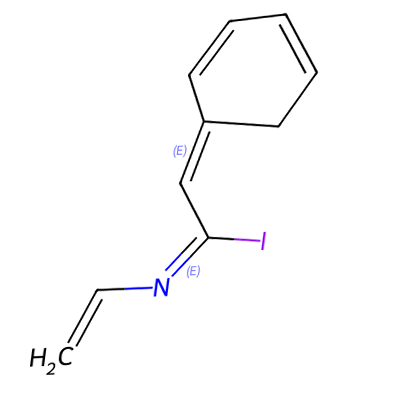 C=C/N=C(I)\C=C1\C=CC=CC1